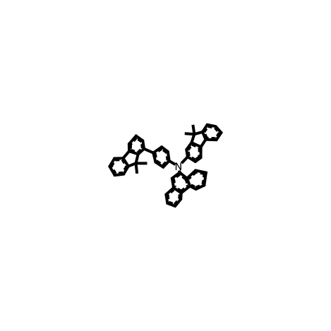 CC1(C)c2ccccc2-c2ccc(N(c3ccc(-c4cccc5c4C(C)(C)c4ccccc4-5)cc3)c3cc4ccccc4c4ccccc34)cc21